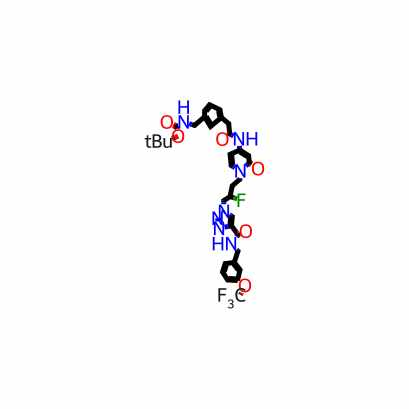 CC(C)(C)OC(=O)NCc1cccc(CC(=O)Nc2ccn(CCC(F)Cn3cc(C(=O)NCc4cccc(OC(F)(F)F)c4)nn3)c(=O)c2)c1